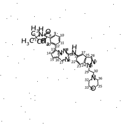 CC(C)(C)NS(=O)(=O)c1cccc(-c2ccc3cnc(Nc4ccc5c(cnn5CCN5CCOCC5)c4)nn23)c1